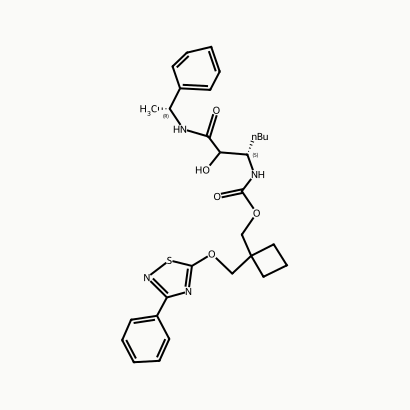 CCCC[C@H](NC(=O)OCC1(COc2nc(-c3ccccc3)ns2)CCC1)C(O)C(=O)N[C@H](C)c1ccccc1